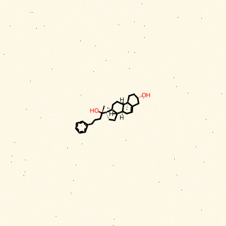 C[C@]12CC[C@H]3[C@@H](CC=C4C[C@@H](O)CC[C@@]43C)[C@@H]1CC[C@@H]2[C@@](C)(O)CCCc1ccccc1